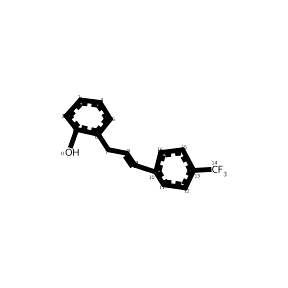 Oc1ccccc1C/C=C/c1ccc(C(F)(F)F)cc1